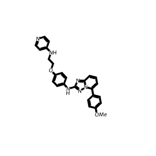 COc1ccc(-c2cccc3nc(Nc4ccc(OCCNc5ccncc5)cc4)nn23)cc1